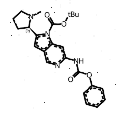 CN1CCC[C@@H]1c1cc2cnc(NC(=O)Oc3ccccc3)cc2n1C(=O)OC(C)(C)C